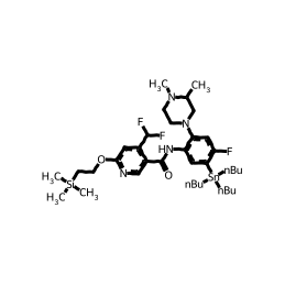 CCC[CH2][Sn]([CH2]CCC)([CH2]CCC)[c]1cc(NC(=O)c2cnc(OCC[Si](C)(C)C)cc2C(F)F)c(N2CCN(C)C(C)C2)cc1F